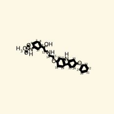 CS(=O)(=O)Nc1cccc([C@@H](O)CNCCOc2ccc3c(c2)[nH]c2cc(Oc4ccccc4)ccc23)c1